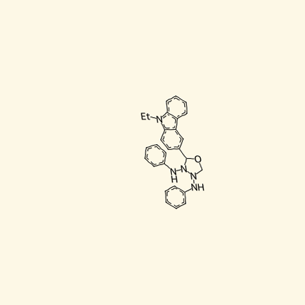 CCn1c2ccccc2c2cc(C3OCN(Nc4ccccc4)N3Nc3ccccc3)ccc21